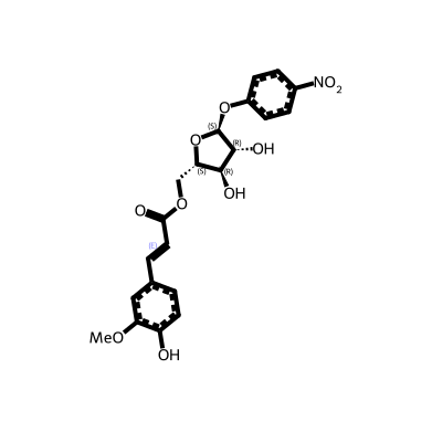 COc1cc(/C=C/C(=O)OC[C@@H]2O[C@@H](Oc3ccc([N+](=O)[O-])cc3)[C@H](O)[C@H]2O)ccc1O